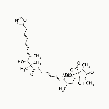 COC(CC(C)C(O)/C=C/C=C/CNC(=O)C(C)(C)C(O)/C(C)=C/C=C/C=C/Cc1cnco1)C1(O)C(C)C(=O)N(C)C12COC2=O